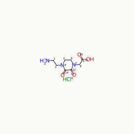 Cl.NCCN1CCN(CC(=O)O)C(=O)C1=O